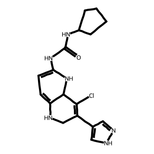 O=C(NC1=CC=C2NCC(c3cn[nH]c3)=C(Cl)C2N1)NC1CCCC1